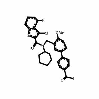 COc1ccc(-c2ccc(C(=O)I)cc2)cc1CN(C(=O)c1sc2cccc(F)c2c1Cl)C1CCCCC1